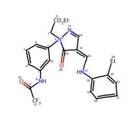 CCOC(=O)C[N+]1(c2cccc(NC(=O)C(F)(F)F)c2)N=CC(=CNc2ccccc2CC)C1=O